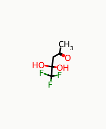 CC(=O)CC(O)(O)C(F)(F)F